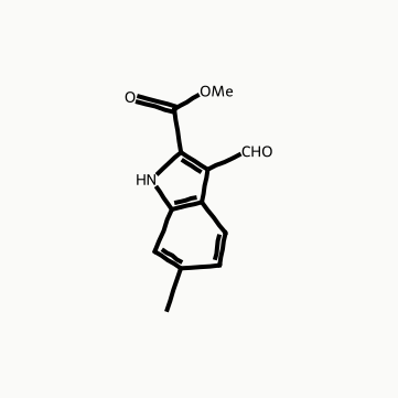 COC(=O)c1[nH]c2cc(C)ccc2c1C=O